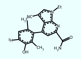 [2H]c1cc(C)c(-c2cc(C(N)=O)nc3c2c(C#N)cn3CC)c(C)c1O